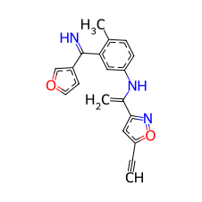 C#Cc1cc(C(=C)Nc2ccc(C)c(C(=N)c3ccoc3)c2)no1